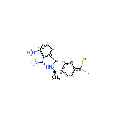 C=C(NCc1cccc(N)c1CN)c1ccc(C(F)F)cc1